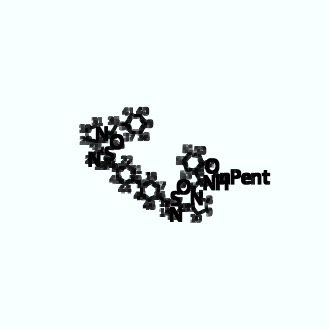 CCCCCC(=O)N[C@H](C(=O)N1CCC[C@H]1c1ncc(-c2ccc(-c3ccc(-c4cnc([C@@H]5CCCN5C(=O)Cc5ccccc5)s4)cc3)cc2)s1)c1ccccc1